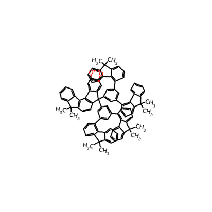 CC1(C)c2ccccc2-c2c(-c3cc(-c4cccc5c4-c4ccccc4C5(C)C)cc(C4(c5cc(-c6cccc7c6-c6ccccc6C7(C)C)cc(-c6cccc7c6-c6ccccc6C7(C)C)c5)c5cc6c(cc5-c5c4ccc4c5-c5ccccc5C4(C)C)OCO6)c3)cccc21